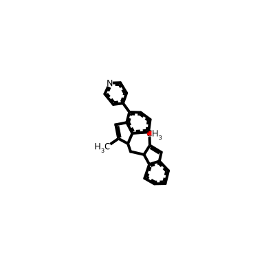 CC1=Cc2ccccc2C1CC1C(C)=Cc2c(-c3ccncc3)cccc21